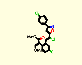 CO/C=C(/C(=O)OC)c1ccc(Cl)cc1C=C(Cl)c1cc(-c2ccc(Cl)cc2)no1